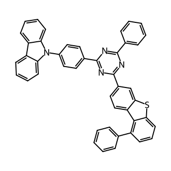 c1ccc(-c2nc(-c3ccc(-n4c5ccccc5c5ccccc54)cc3)nc(-c3ccc4c(c3)sc3cccc(-c5ccccc5)c34)n2)cc1